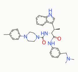 Cc1ccc(N2CCN(C(=O)N[C@@H](C(=O)Nc3cccc(CN(C)C)c3)[C@H](C)c3c[nH]c4ccccc34)CC2)cc1